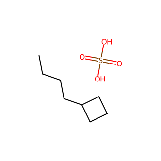 CCCCC1CCC1.O=S(=O)(O)O